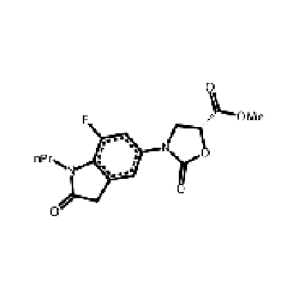 CCCN1C(=O)Cc2cc(N3C[C@H](C(=O)OC)OC3=O)cc(F)c21